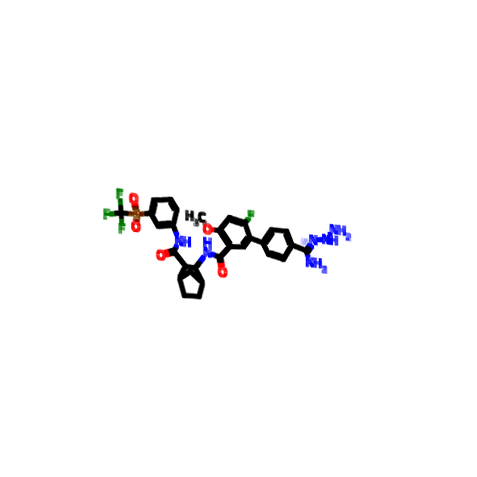 COc1cc(F)c(-c2ccc(/C(N)=N/NN)cc2)cc1C(=O)NC1C2CCC(C2)C1C(=O)Nc1cccc(S(=O)(=O)C(F)(F)F)c1